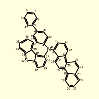 c1ccc(-c2ccc(N(c3cccc4c3ccc3c5ccccc5ccc43)c3cccc4sc5ccccc5c34)cc2)cc1